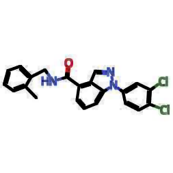 Cc1ccccc1CNC(=O)c1cccc2c1cnn2-c1ccc(Cl)c(Cl)c1